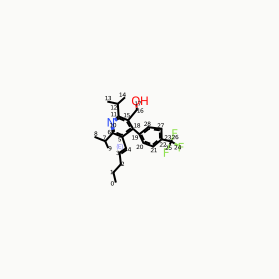 CCC/C=C/c1c(C(C)C)nc(C(C)C)c(CO)c1-c1ccc(C(F)(F)F)cc1